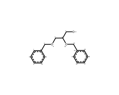 [O]CC(COCc1ccccc1)OCc1ccccc1